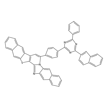 c1ccc(-c2nc(-c3ccc(-c4cc5c6cc7ccccc7cc6sc5c5nc6cc7ccccc7cc6n45)cc3)nc(-c3ccc4ccccc4c3)n2)cc1